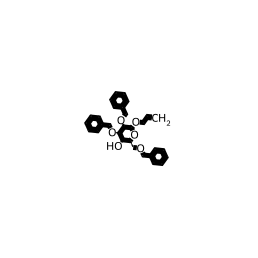 C=CCOC1O[C@H](COCc2ccccc2)[C@@H](O)[C@H](OCc2ccccc2)[C@H]1OCc1ccccc1